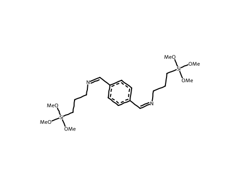 CO[Si](CCC/N=C\c1ccc(/C=N\CCC[Si](OC)(OC)OC)cc1)(OC)OC